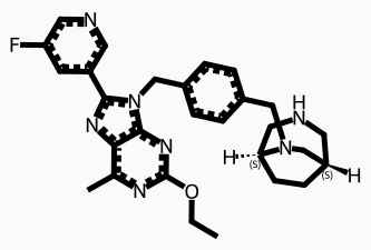 CCOc1nc(C)c2nc(-c3cncc(F)c3)n(Cc3ccc(CN4C[C@H]5CC[C@H]4CNC5)cc3)c2n1